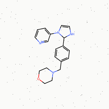 C1=CN(c2cccnc2)C(c2ccc(CN3CCOCC3)cc2)N1